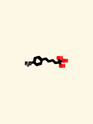 O[Si](O)(O)CCCCc1ccc(C(F)(F)F)cc1